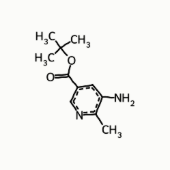 Cc1ncc(C(=O)OC(C)(C)C)cc1N